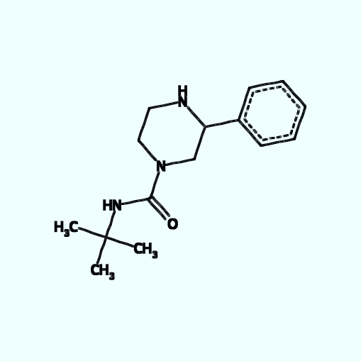 CC(C)(C)NC(=O)N1CCNC(c2ccccc2)C1